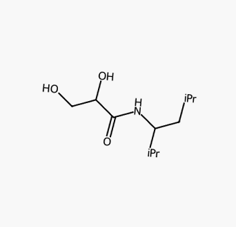 CC(C)CC(NC(=O)C(O)CO)C(C)C